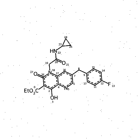 CCOC(=O)c1c(O)c2ncc(Cc3ccc(F)cc3)cc2n(CC(=O)NC2CC2)c1=O